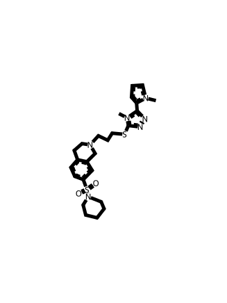 Cn1cccc1-c1nnc(SCCCN2CCc3ccc(S(=O)(=O)N4CCCCC4)cc3C2)n1C